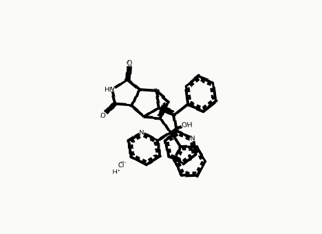 O=C1NC(=O)C2C3C(C(O)(c4ccccc4)c4ccccn4)=CC(/C3=C(\c3ccccc3)c3ccccn3)C12.[Cl-].[H+]